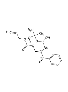 C=CCOC(=O)OC[C@@H](NC(O)OC(C)(C)C)[C@H](F)c1ccccc1